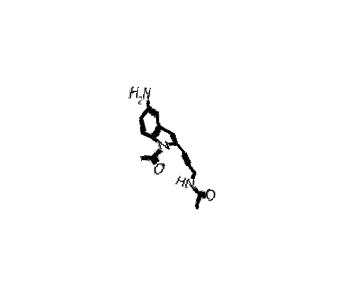 CC(=O)NCC#Cc1cc2cc(N)ccc2n1C(C)=O